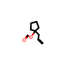 C=CCC1(OC=O)CCCC1